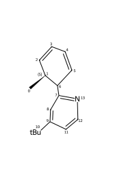 C[C@H]1C=CC=CC1c1cc(C(C)(C)C)ccn1